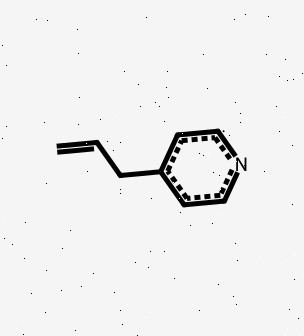 C=CCc1c[c]ncc1